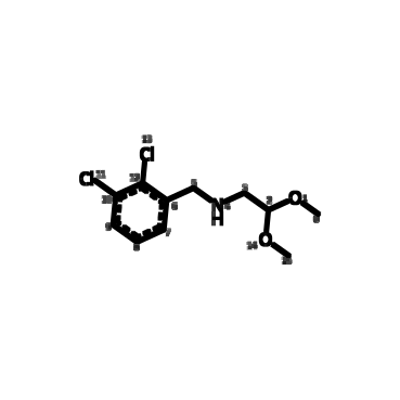 COC(CNCc1cccc(Cl)c1Cl)OC